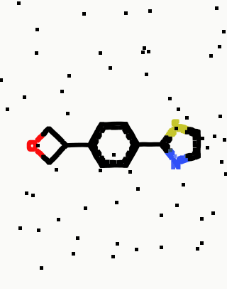 c1csc(-c2ccc(C3COC3)cc2)n1